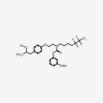 CCOC(Cc1ccc(OCCN(CCCCC(F)(F)C(F)(F)C(F)(F)F)C(=O)Oc2cccc(OC)c2)cc1)C(=O)O